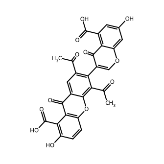 CC(=O)c1cc2c(=O)c3c(C(=O)O)c(O)ccc3oc2c(C(C)=O)c1-c1coc2cc(O)cc(C(=O)O)c2c1=O